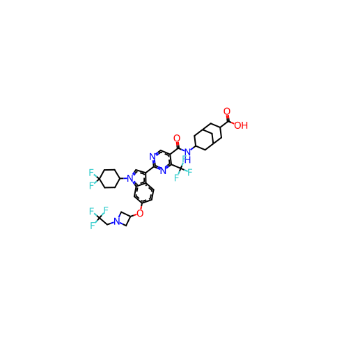 O=C(NC1CC2CC(C1)CC(C(=O)O)C2)c1cnc(-c2cn(C3CCC(F)(F)CC3)c3cc(OC4CN(CC(F)(F)F)C4)ccc23)nc1C(F)(F)F